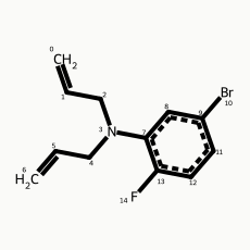 C=CCN(CC=C)c1cc(Br)ccc1F